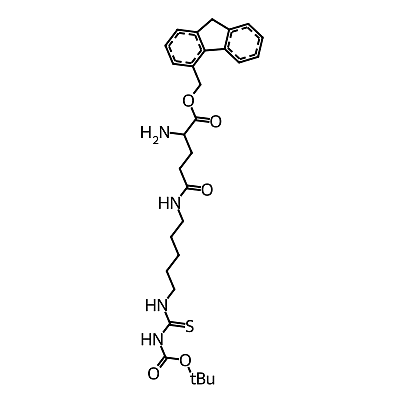 CC(C)(C)OC(=O)NC(=S)NCCCCCNC(=O)CCC(N)C(=O)OCc1cccc2c1-c1ccccc1C2